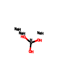 O[SiH](O)O.[NaH].[NaH].[NaH]